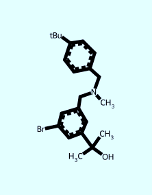 CN(Cc1ccc(C(C)(C)C)cc1)Cc1cc(Br)cc(C(C)(C)O)c1